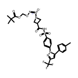 Cc1ccc(-c2cc(C(F)(F)F)nn2-c2ccc(S(=O)(=O)NC(=O)C3CN(/[N+]([O-])=N\OCOC(=O)C(C)(C)C)C3)cc2)cc1